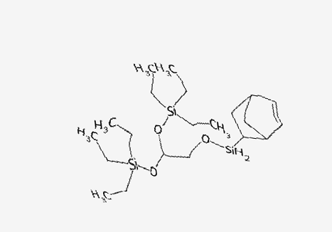 CC[Si](CC)(CC)OC(CO[SiH2]C1CC2C=CC1C2)O[Si](CC)(CC)CC